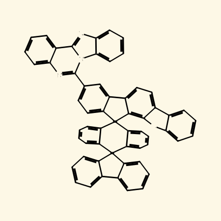 c1ccc2c(c1)-c1ccccc1C21c2ccccc2C2(c3ccc(-c4nc5ccccc5c5nc6ccccc6n45)cc3-c3ccc4c(sc5ccccc54)c32)c2ccccc21